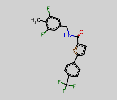 Cc1c(F)cc(CNC(=O)c2ccc(-c3ccc(C(F)(F)F)cc3)s2)cc1F